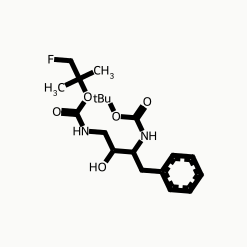 CC(C)(C)OC(=O)NC(Cc1ccccc1)C(O)CNC(=O)OC(C)(C)CF